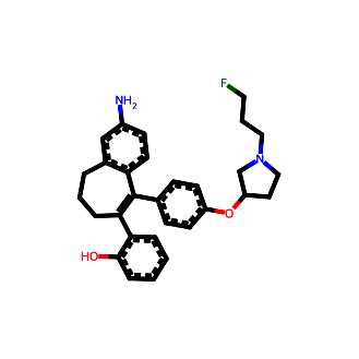 Nc1ccc2c(c1)CCCC(c1ccccc1O)=C2c1ccc(OC2CCN(CCCF)C2)cc1